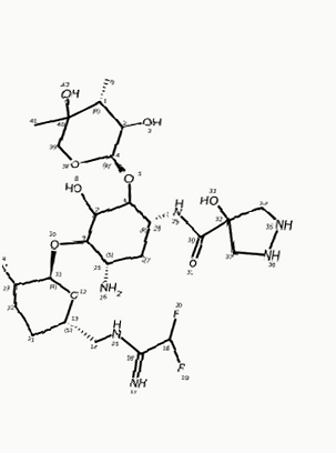 C[C@@H]1C(O)[C@@H](OC2C(O)C(O[C@H]3O[C@H](CNC(=N)C(F)F)CCC3N)[C@@H](N)C[C@H]2NC(=O)C2(O)CNNC2)OCC1(C)O